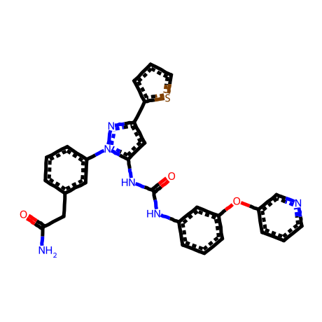 NC(=O)Cc1cccc(-n2nc(-c3cccs3)cc2NC(=O)Nc2cccc(Oc3cccnc3)c2)c1